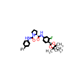 CC(C)c1ccc(NC(=O)N2CCC[C@@H]2C(=O)Nc2ccc(B3OC(C)(C)C(C)(C)O3)c(F)c2)cc1